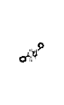 C[C@@H](N[C@@H]1C(=O)N(OCc2ccccc2)C[C@@H]1C)c1ccccc1